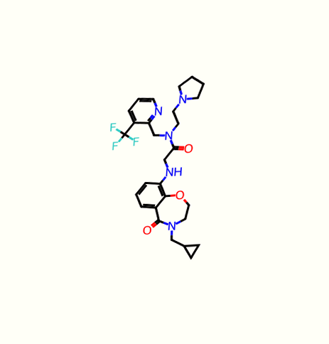 O=C(CNc1cccc2c1OCCN(CC1CC1)C2=O)N(CCN1CCCC1)Cc1ncccc1C(F)(F)F